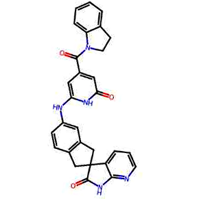 O=C(c1cc(Nc2ccc3c(c2)CC2(C3)C(=O)Nc3ncccc32)[nH]c(=O)c1)N1CCc2ccccc21